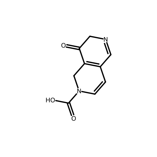 O=C1CN=CC2=C1CN(C(=O)O)C=C2